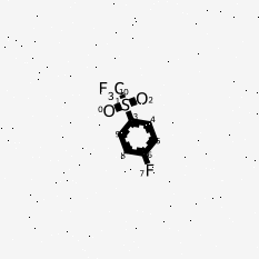 O=S(=O)(c1ccc(F)cc1)C(F)(F)F